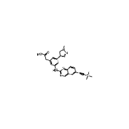 CN1CC(c2cc(CC(=O)O)cc(Nc3ncc4cc(C#C[Si](C)(C)C)ccc4n3)c2)C=N1